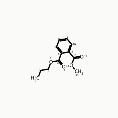 CCCOC(=O)c1ccccc1C(=O)OC